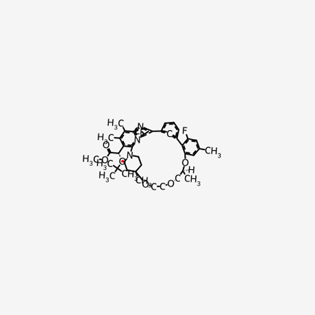 COC(=O)[C@@H](OC(C)(C)C)c1c(C)c(C)c2nc3c(Cl)n2c1N1CCC(C)(CC1)OCCOC[C@H](C)Oc1cc(C)cc(F)c1-c1cccc-3c1